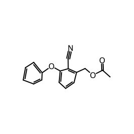 CC(=O)OCc1cccc(Oc2ccccc2)c1C#N